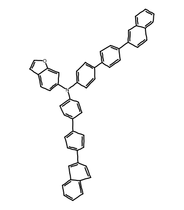 c1ccc2cc(-c3ccc(-c4ccc(N(c5ccc(-c6ccc(-c7ccc8ccccc8c7)cc6)cc5)c5ccc6ccoc6c5)cc4)cc3)ccc2c1